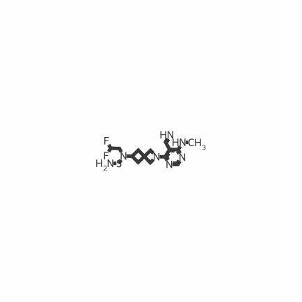 CNc1ncnc(N2CC3(CC(N(CC(F)F)SN)C3)C2)c1C=N